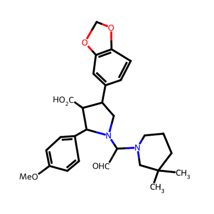 COc1ccc(C2C(C(=O)O)C(c3ccc4c(c3)OCO4)CN2C(C=O)N2CCCC(C)(C)C2)cc1